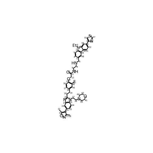 CCn1c2ccc(CNCCNC(=O)COc3ccc(CCc4nc5cc(-c6c(C)noc6C)ccc5n4CCN4CCOCC4)cc3F)cc2c2ccc(-c3cscn3)cc21